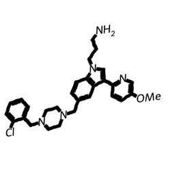 COc1ccc(-c2cn(CCCN)c3ccc(CN4CCN(Cc5ccccc5Cl)CC4)cc23)nc1